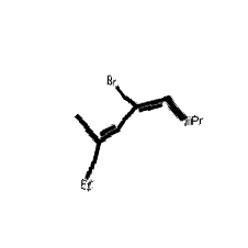 CC/C(C)=C/C(Br)=C\C(C)C